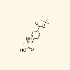 CC(C)(C)OC(=O)c1ccc(C[C@](C)(N)C(=O)O)cc1